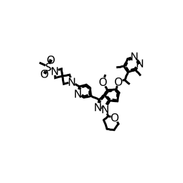 COc1c(OC(C)c2c(C)cnnc2C)ccc2c1c(-c1ccc(N3CC4(C3)CN(S(C)(=O)=O)C4)nc1)nn2C1CCCCO1